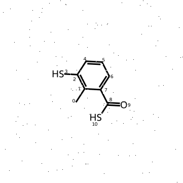 Cc1c(S)cccc1C(=O)S